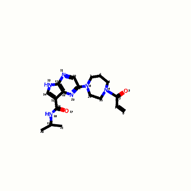 C=CC(=O)N1CCCN(c2cnc3[nH]cc(C(=O)NC(C)C)c3n2)CC1